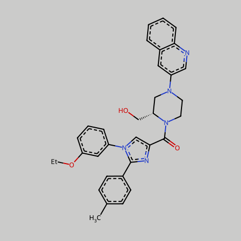 CCOc1cccc(-n2cc(C(=O)N3CCN(c4cnc5ccccc5c4)C[C@H]3CO)nc2-c2ccc(C)cc2)c1